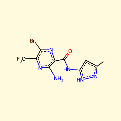 Cc1cc(NC(=O)c2nc(Br)c(C(F)(F)F)nc2N)[nH]n1